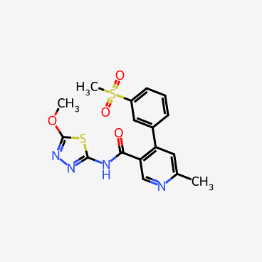 COc1nnc(NC(=O)c2cnc(C)cc2-c2cccc(S(C)(=O)=O)c2)s1